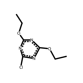 CCOc1nc(Cl)nc(OCC)n1